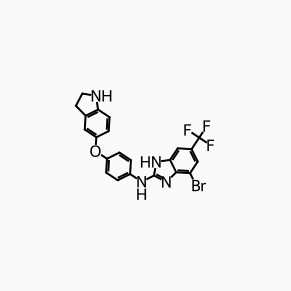 FC(F)(F)c1cc(Br)c2nc(Nc3ccc(Oc4ccc5c(c4)CCN5)cc3)[nH]c2c1